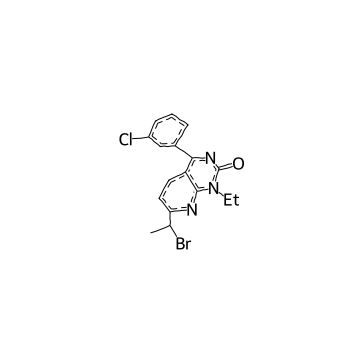 CCn1c(=O)nc(-c2cccc(Cl)c2)c2ccc(C(C)Br)nc21